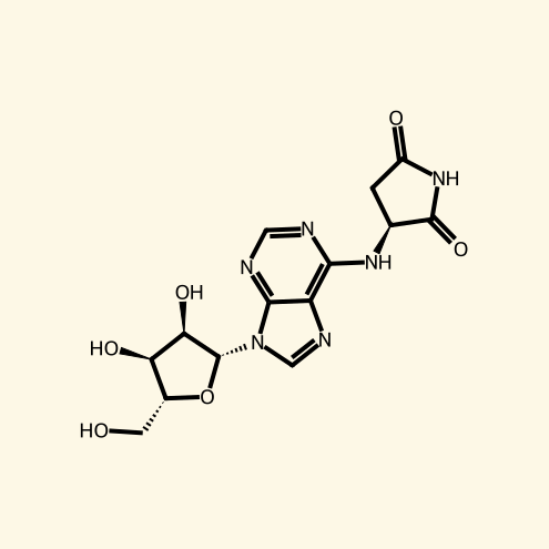 O=C1C[C@H](Nc2ncnc3c2ncn3[C@@H]2O[C@H](CO)[C@@H](O)[C@H]2O)C(=O)N1